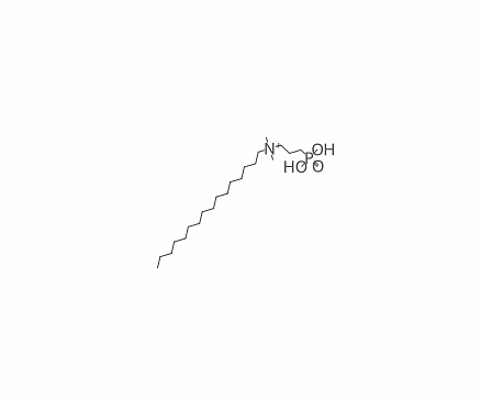 CCCCCCCCCCCCCCCC[N+](C)(C)CCCP(=O)(O)O